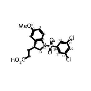 COc1ccc2c(c1)C(CCC(=O)O)CN2S(=O)(=O)c1cc(Cl)cc(Cl)c1